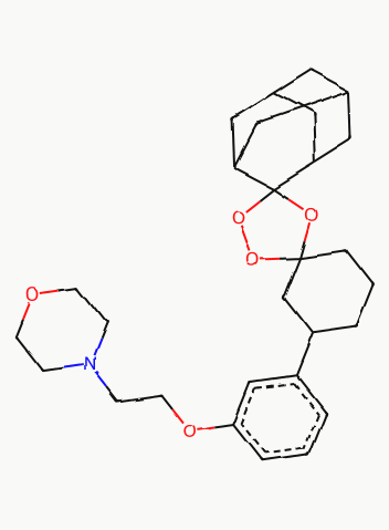 c1cc(OCCN2CCOCC2)cc(C2CCCC3(C2)OOC2(O3)C3CC4CC(C3)CC2C4)c1